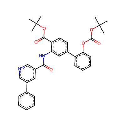 CC(C)(C)OC(=O)Oc1ccccc1-c1ccc(C(=O)OC(C)(C)C)c(NC(=O)c2cncc(-c3ccccc3)c2)c1